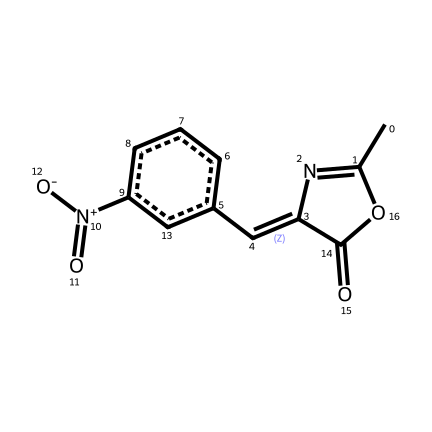 CC1=N/C(=C\c2cccc([N+](=O)[O-])c2)C(=O)O1